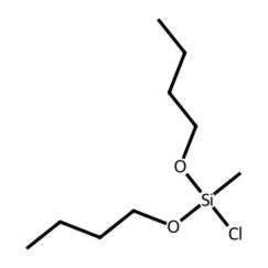 CCCCO[Si](C)(Cl)OCCCC